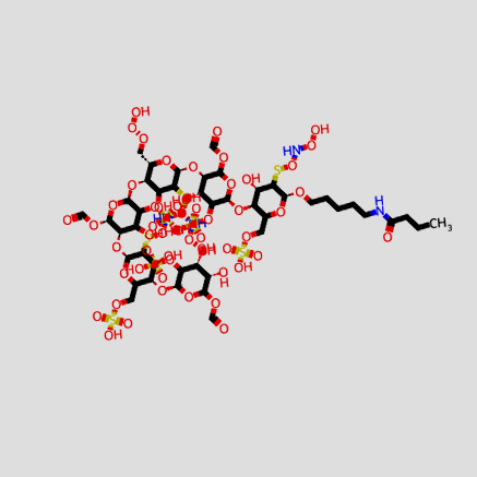 CCCC(=O)NCCCCCO[C@@H]1OC(COS(=O)(=O)O)[C@@H](O[C@@H]2OC(OC=O)[C@@H](O[C@H]3O[C@@H](COOO)[C@@H](O[C@@H]4O[C@@H](OC=O)[C@@H](O[C@H]5OC(COS(=O)(=O)O)[C@@H](O[C@@H]6OC(OC=O)[C@@H](O)[C@@H](O)C6OS(=O)(=O)O)[C@H](O)C5SONOO)C(O)C4OS(=O)(=O)O)C(O)C3SONOO)[C@@H](O)C2OS(=O)(=O)O)[C@H](O)C1SONOO